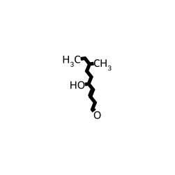 CCC(C)CCC(O)C=CCC=O